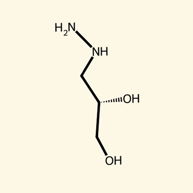 NNC[C@H](O)CO